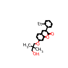 CCc1ccccc1-c1cc2ccc(OCC(C)(C)CO)cc2oc1=O